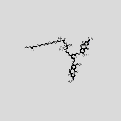 C/C=C1\C[C@H]2C=Nc3cc(OCc4cc(OCCN(C)CC(C)(C)SCC(=O)N(C)CCOCCOCCOCCOCCC(=O)OC)cc(COc5cc6c(cc5CO)C(=O)N5C/C(=C/C)C[C@H]5C=N6)n4)c(C=O)cc3C(=O)N2C1